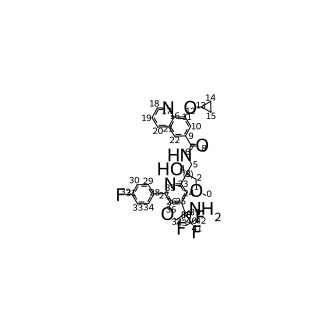 COC[C@](O)(CNC(=O)c1cc(OC2CC2)c2ncccc2c1)c1cc2c(c(-c3ccc(F)cc3)n1)OC[C@@]2(N)C(F)(F)F